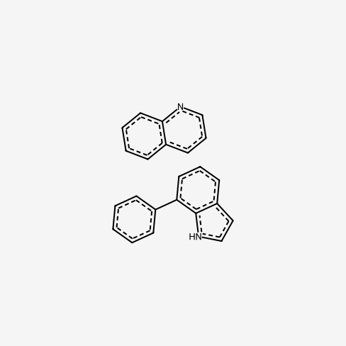 c1ccc(-c2cccc3cc[nH]c23)cc1.c1ccc2ncccc2c1